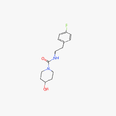 O=C(NCCc1ccc(F)cc1)N1CCC(O)CC1